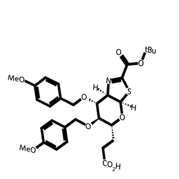 COc1ccc(CO[C@@H]2[C@H]3N=C(C(=O)OC(C)(C)C)S[C@H]3O[C@H](CCC(=O)O)[C@H]2OCc2ccc(OC)cc2)cc1